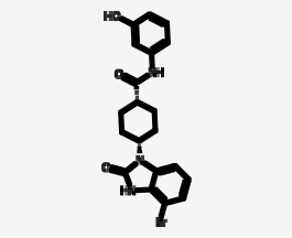 O=c1[nH]c2c(Br)cccc2n1[C@H]1CC[C@@H](C(=O)Nc2cccc(O)c2)CC1